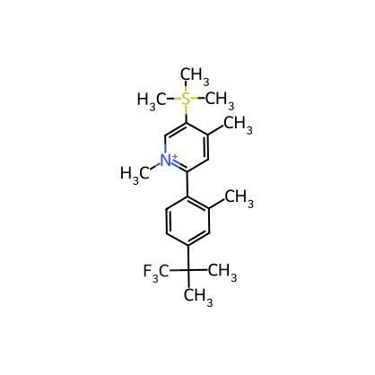 Cc1cc(C(C)(C)C(F)(F)F)ccc1-c1cc(C)c(S(C)(C)C)c[n+]1C